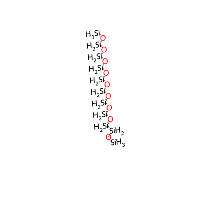 [SiH3]O[SiH2]O[SiH2]O[SiH2]O[SiH2]O[SiH2]O[SiH2]O[SiH2]O[SiH2][SiH2]O[SiH3]